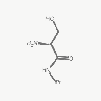 CC(C)NC(=O)[C@@H](N)CO